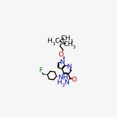 C[Si](C)(C)CCOCn1ccc2c(N[C@H]3CC[C@H](CF)CC3)c(C(N)=O)cnc21